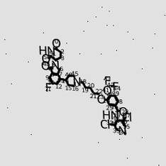 O=C1CCC(N2Cc3c(cc(F)cc3C3CCN(CCCCCOc4cc(C(=O)Nc5c(Cl)cncc5Cl)ccc4OC(F)F)CC3)C2=O)C(=O)N1